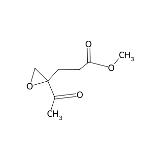 COC(=O)CCC1(C(C)=O)CO1